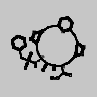 COC(=O)[C@@H]1Cc2cn(nn2)Cc2cccc(n2)Cn2cc(nn2)C[C@@H](NS(=O)(=O)Cc2ccccc2)C(=O)N1